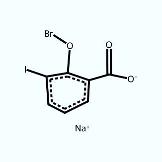 O=C([O-])c1cccc(I)c1OBr.[Na+]